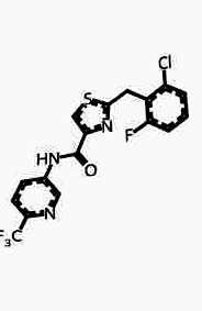 O=C(Nc1ccc(C(F)(F)F)nc1)c1csc(Cc2c(F)cccc2Cl)n1